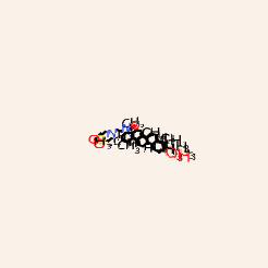 CN(CCN1CCS(=O)(=O)CC1)C(=O)[C@]12CCC(C)(C)C[C@H]1C1=CC[C@@H]3[C@@]4(C)CC[C@H](O)C(C)(C)[C@@H]4CC[C@@]3(C)[C@]1(C)CC2